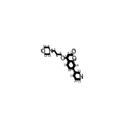 O=c1cc(OCCCN2CCOCC2)c2ccc(-c3cccnc3)cc2o1